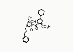 CC(C)[C@@H](O)O[C@@H](CCCc1ccccc1)[PH](=O)CC(=O)N1C[C@H](C2CCCCC2)C[C@H]1C(=O)O